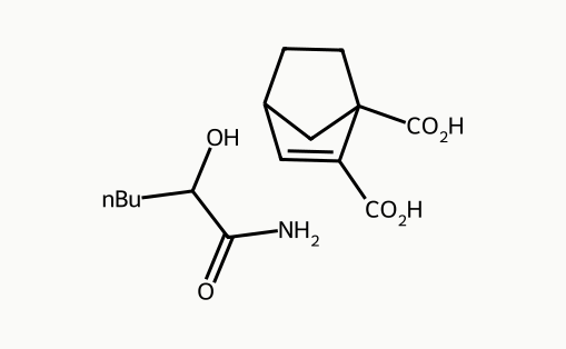 CCCCC(O)C(N)=O.O=C(O)C1=CC2CCC1(C(=O)O)C2